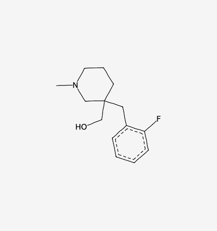 CN1CCCC(CO)(Cc2ccccc2F)C1